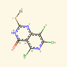 CCSc1nc2c(F)c(Cl)nc(Br)c2c(=O)[nH]1